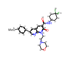 COc1ccc(-c2cnc3c(c2)cc(C(=O)NC2CCC(F)(F)CC2)c(=O)n3CCN2CCOCC2)cc1